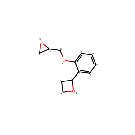 c1ccc(C2CCO2)c(OCC2CO2)c1